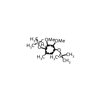 COc1c(O[Si](C)(C)C)cc(C)c(O[Si](C)(C)C)c1OC